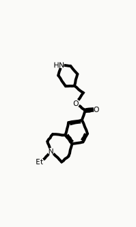 CCN1CCc2ccc(C(=O)OCC3CCNCC3)cc2CC1